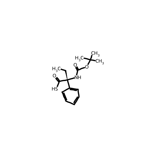 CC[C@](NC(=O)OC(C)(C)C)(C(=O)S)c1ccccc1